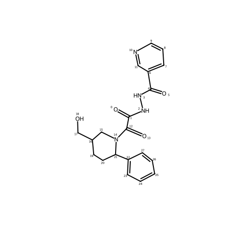 O=C(NNC(=O)c1cccnc1)C(=O)N1CC(CO)CCC1c1ccccc1